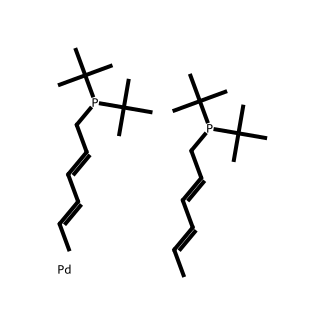 CC=CC=CCP(C(C)(C)C)C(C)(C)C.CC=CC=CCP(C(C)(C)C)C(C)(C)C.[Pd]